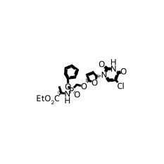 CCOC(=O)[C@H](C)NP(=O)(CO[C@@H]1C=C[C@H](n2cc(Cl)c(=O)[nH]c2=O)O1)Oc1ccccc1